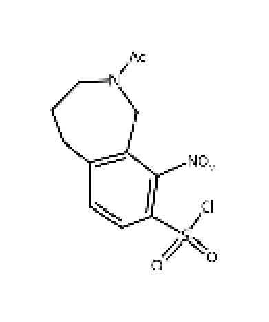 CC(=O)N1CCCc2ccc(S(=O)(=O)Cl)c([N+](=O)[O-])c2C1